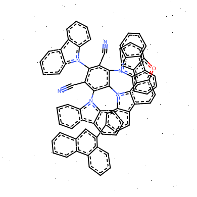 N#Cc1c(-n2c3ccccc3c3ccccc32)c(C#N)c(-n2c3ccccc3c3ccccc32)c(-n2c3cc(-c4cc5ccccc5c5ccccc45)ccc3c3ccc4oc5ccccc5c4c32)c1-n1c2ccccc2c2ccccc21